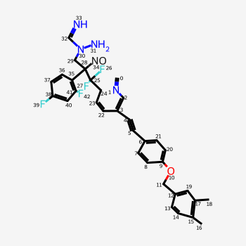 C=N/C=C(C#Cc1ccc(OCc2ccc(C)c(C)c2)cc1)\C=C/CC(F)(F)C(CN(N)C=N)(N=O)c1ccc(F)cc1F